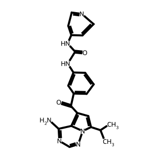 CC(C)c1cc(C(=O)c2cccc(NC(=O)Nc3ccncc3)c2)c2c(N)ncnn12